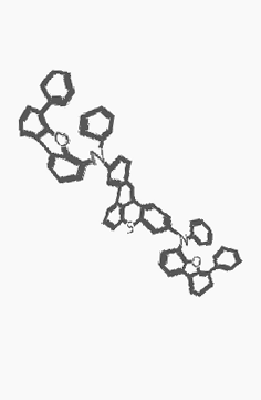 c1ccc(-c2cccc3c2oc2c(N(c4ccccc4)c4ccc5c(c4)Sc4cccc6c4c-5cc4ccc(N(c5ccccc5)c5cccc7c5oc5c(-c8ccccc8)cccc57)cc46)cccc23)cc1